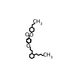 CCCCCC1CCCCC1CCCOc1ccc(C(=O)OC2CCC(CCC)CC2)cc1